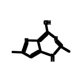 Cc1cc2[nH]c(C)nc(O)c-2n1